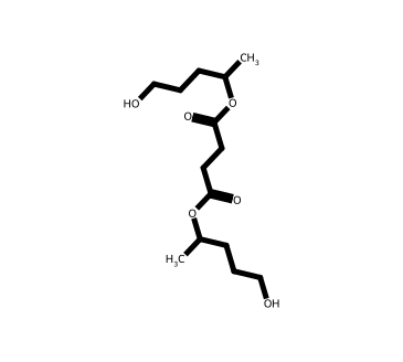 CC(CCCO)OC(=O)CCC(=O)OC(C)CCCO